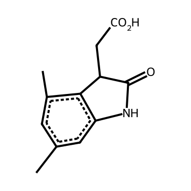 Cc1cc(C)c2c(c1)NC(=O)C2CC(=O)O